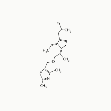 C=C(CC)CC1=CCC(=C(\C)COCc2ccc(C)nc2C)/C1=C\C